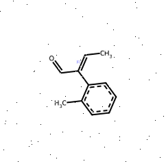 C/C=C(/C=O)c1ccccc1C